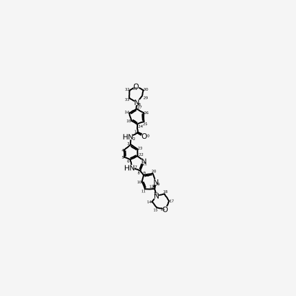 O=C(Nc1ccc2[nH]c(-c3ccc(N4CCOCC4)nc3)nc2c1)c1ccc(N2CCOCC2)cc1